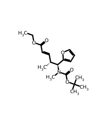 CCOC(=O)C=C[C@@H](C)[C@@H](c1ccco1)N(C)C(=O)OC(C)(C)C